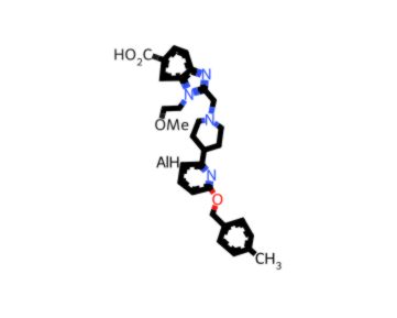 COCCn1c(CN2CCC(c3cccc(OCc4ccc(C)cc4)n3)CC2)nc2ccc(C(=O)O)cc21.[AlH3]